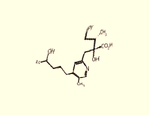 CCC(O)CCCc1cc(C[C@](O)(C(=O)O)[C@@H](C)CC(C)C)ncc1C